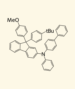 COc1ccc(C2(c3ccc(C(C)(C)C)cc3)c3ccccc3-c3ccc(N(c4ccccc4)c4ccc(-c5ccccc5)cc4)cc32)cc1